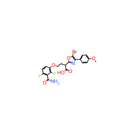 COc1ccc(-c2nc(C(CCOc3ccc(F)c(C(N)=O)c3F)C(=O)O)oc2Br)cc1